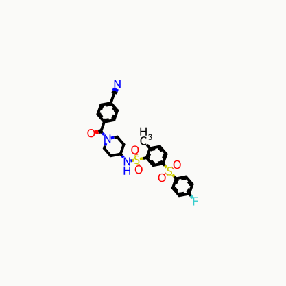 Cc1ccc(S(=O)(=O)c2ccc(F)cc2)cc1S(=O)(=O)NC1CCN(C(=O)c2ccc(C#N)cc2)CC1